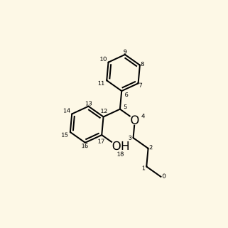 CCCCOC(c1ccccc1)c1ccccc1O